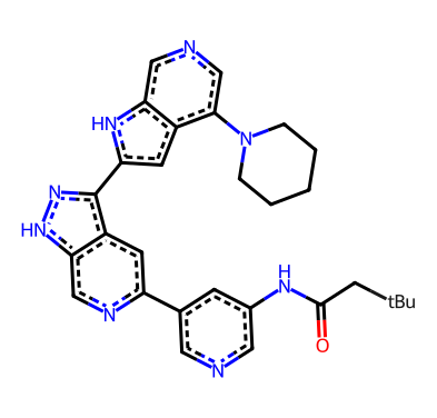 CC(C)(C)CC(=O)Nc1cncc(-c2cc3c(-c4cc5c(N6CCCCC6)cncc5[nH]4)n[nH]c3cn2)c1